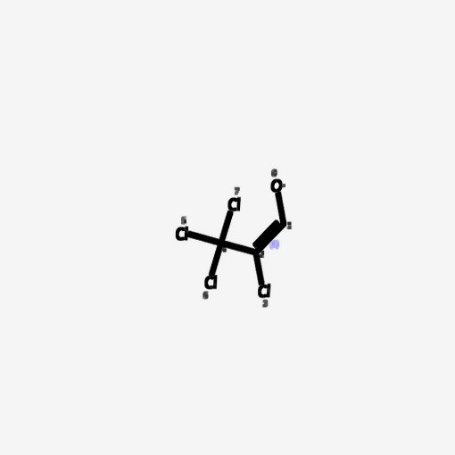 [O]/C=C(/Cl)C(Cl)(Cl)Cl